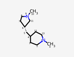 CN1CCC(C[C@@H]2CCN(C)C2)CC1